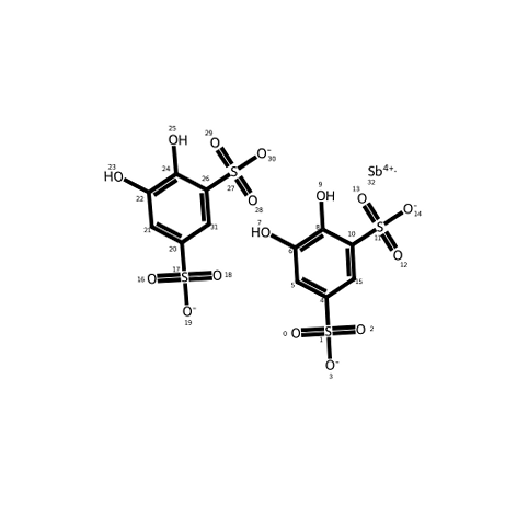 O=S(=O)([O-])c1cc(O)c(O)c(S(=O)(=O)[O-])c1.O=S(=O)([O-])c1cc(O)c(O)c(S(=O)(=O)[O-])c1.[Sb+4]